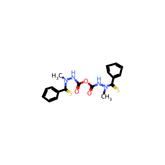 CN(NC(=O)OC(=O)NN(C)C(=S)c1ccccc1)C(=S)c1ccccc1